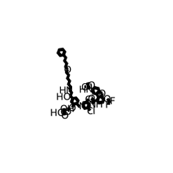 CS(=O)(=O)Nc1ccc2oc3c(OC(F)F)ccc(C(=O)Nc4c(Cl)c[n+](Cc5ccc(C(O)CNCCCCCCOCCCCc6ccccc6)cc5OCOP(=O)(O)O)cc4Cl)c3c2c1